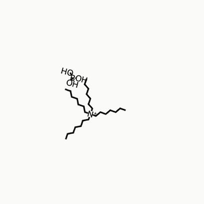 CCCCCCC[N+](CCCCCCC)(CCCCCCC)CCCCCCC.OB(O)O